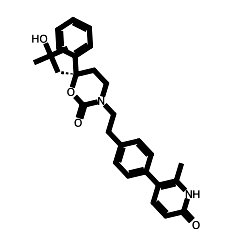 Cc1[nH]c(=O)ccc1-c1ccc(CCN2CC[C@](CC(C)(C)O)(c3ccccc3)OC2=O)cc1